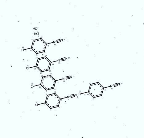 Cl.Cl.N#[N+]c1ccc(Cl)cc1.N#[N+]c1ccc(Cl)cc1.N#[N+]c1ccc(Cl)cc1.N#[N+]c1ccc(Cl)cc1.N#[N+]c1ccc(Cl)cc1